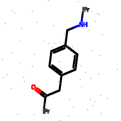 CC(C)NCc1ccc(CC(=O)C(C)C)cc1